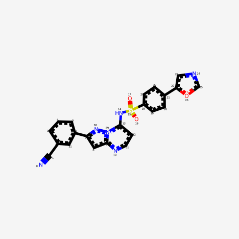 N#Cc1cccc(-c2cc3nccc(NS(=O)(=O)c4ccc(-c5cnco5)cc4)n3n2)c1